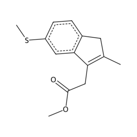 COC(=O)CC1=C(C)Cc2ccc(SC)cc21